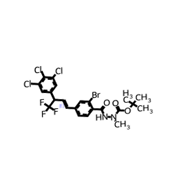 CN(NC(=O)c1ccc(/C=C/C(c2cc(Cl)c(Cl)c(Cl)c2)C(F)(F)F)cc1Br)C(=O)OC(C)(C)C